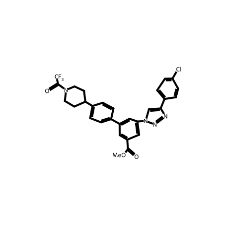 COC(=O)c1cc(-c2ccc(C3CCN(C(=O)C(F)(F)F)CC3)cc2)cc(-n2cc(-c3ccc(Cl)cc3)nn2)c1